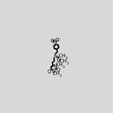 COC(C)N(CCCc1cc(=O)n(C)c(=O)n1C)CCc1ccc([N+](=O)[O-])cc1